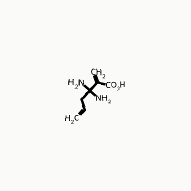 C=CCC(N)(N)C(=C)C(=O)O